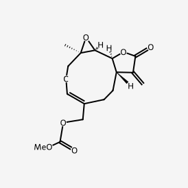 C=C1C(=O)O[C@H]2[C@H]1CC/C(COC(=O)OC)=C\CC[C@@]1(C)O[C@@H]21